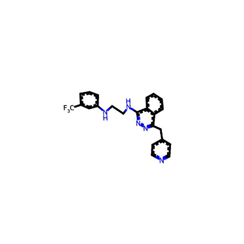 FC(F)(F)c1cccc(NCCNc2nnc(Cc3ccncc3)c3ccccc23)c1